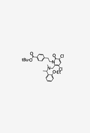 CCOc1ccccc1C(C)N(C)Cc1c(Cl)cc(Cl)c(=O)n1CCc1ccc(C(=O)OC(C)(C)C)cc1